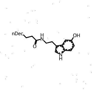 CCCCCCCCCCCCC(=O)NCCc1c[nH]c2ccc(O)cc12